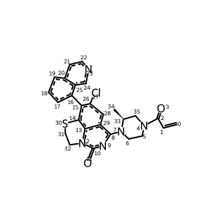 C=CC(=O)N1CCN(c2nc(=O)n3c4c(c(-c5cccc6ccncc56)c(Cl)cc24)SCC3)[C@@H](C)C1